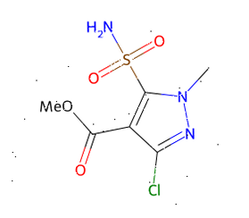 COC(=O)c1c(Cl)nn(C)c1S(N)(=O)=O